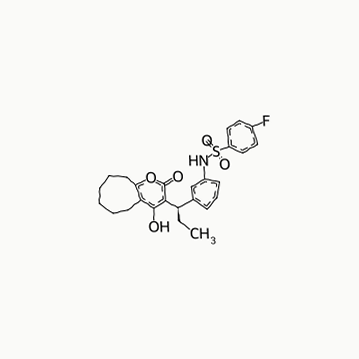 CC[C@H](c1cccc(NS(=O)(=O)c2ccc(F)cc2)c1)c1c(O)c2c(oc1=O)CCCCCC2